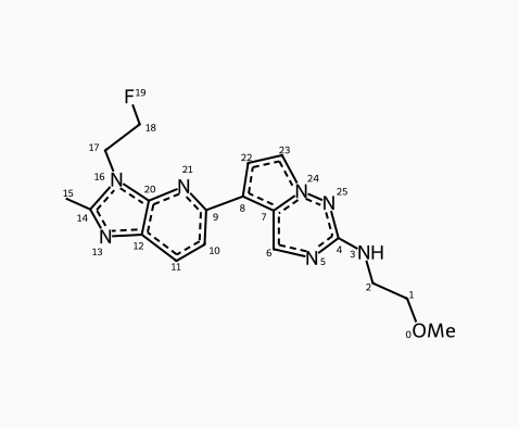 COCCNc1ncc2c(-c3ccc4nc(C)n(CCF)c4n3)ccn2n1